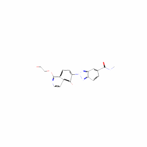 CNC(=O)c1ccc2nn(-c3ccc4c(OCCO)nccc4c3O)nc2c1